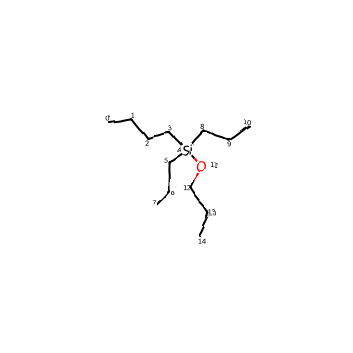 CCCC[Si](CCC)(CCC)OCCC